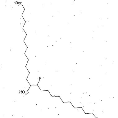 CCCCCCCCCCCCCCCCCCCCCCC(C(F)CCCCCCCCCCF)S(=O)(=O)O